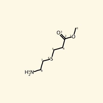 COC(=O)CCSCCN